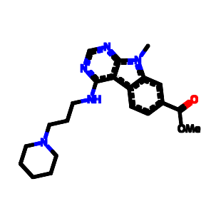 COC(=O)c1ccc2c3c(NCCCN4CCCCC4)ncnc3n(C)c2c1